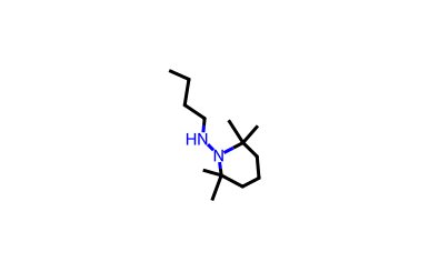 CCCCNN1C(C)(C)CCCC1(C)C